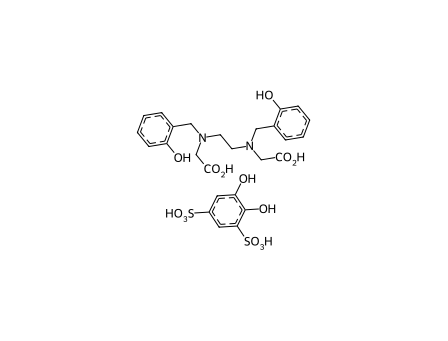 O=C(O)CN(CCN(CC(=O)O)Cc1ccccc1O)Cc1ccccc1O.O=S(=O)(O)c1cc(O)c(O)c(S(=O)(=O)O)c1